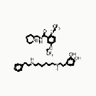 O=C(NCC1CCCCN1)c1cc(OCC(F)(F)F)ccc1OCC(F)(F)F.Oc1ccc(CCNCCCCCCNCCc2ccccc2)cc1O